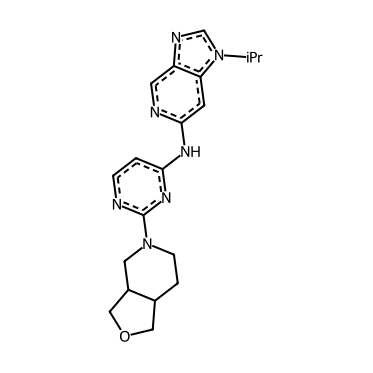 CC(C)n1cnc2cnc(Nc3ccnc(N4CCC5COCC5C4)n3)cc21